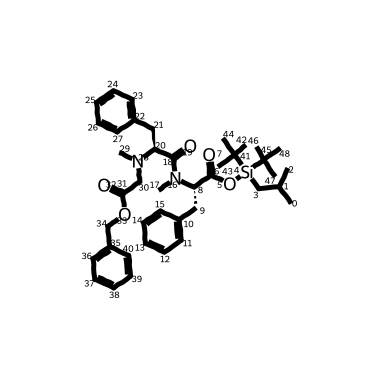 CC(C)C[Si](OC(=O)[C@H](Cc1ccccc1)N(C)C(=O)[C@H](Cc1ccccc1)N(C)CC(=O)OCc1ccccc1)(C(C)(C)C)C(C)(C)C